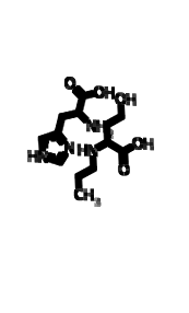 CCCNC(CCO)C(=O)O.NC(Cc1c[nH]cn1)C(=O)O